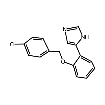 Clc1ccc(COc2ccccc2-c2cnc[nH]2)cc1